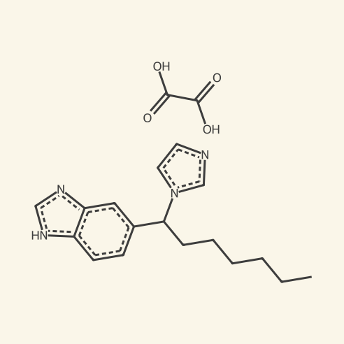 CCCCCCC(c1ccc2[nH]cnc2c1)n1ccnc1.O=C(O)C(=O)O